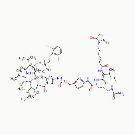 CC[C@H](C)C([C@@H](CC(=O)N1C[C@@H](NC(=O)OCc2ccc(NC(=O)C(CCCNC(N)=O)NC(=O)[C@@H](NC(=O)CCCCCN3C(=O)C=CC3=O)C(C)C)cc2)C[C@H]1[C@H](OC)[C@@H](C)C(=O)NCCc1c(F)cccc1F)OC)N(C)C(=O)[C@@H](NC(=O)[C@H](C(C)C)N(C)C)C(C)C